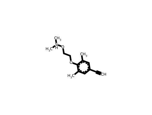 C#Cc1cc(C)c(OCCO[SiH](C)C)c(C)c1